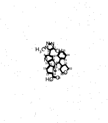 Cc1nnn(C)c1-c1cnc2c3ccc(C(=O)O)nc3n(C(c3ccccc3)C3CCOCC3)c2c1